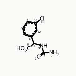 NC(=O)NC(C(=O)O)c1cccc(Cl)c1